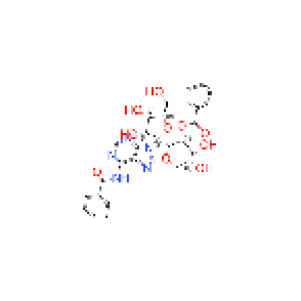 O=C(Nc1ncnc2c1ncn2[C@]1(C2OC[C@@H](O)[C@@H](O)[C@H]2OC(=O)c2ccccc2)O[C@H](CO)[C@@H](O)[C@H]1O)c1ccccc1